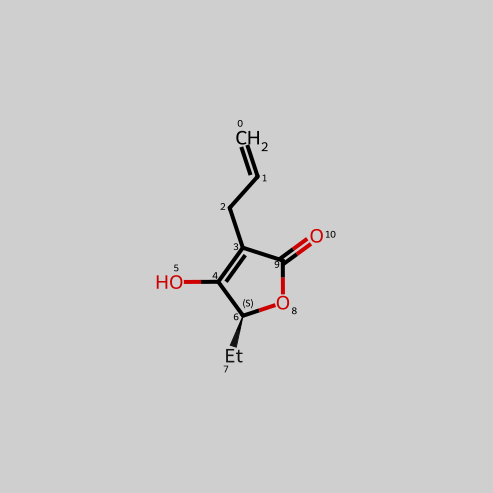 C=CCC1=C(O)[C@H](CC)OC1=O